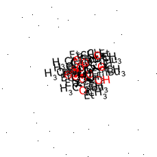 CCCCC(C)(CC)OCC(C)C(C)(CC)OCC(OC(C)(CC)C(C)COC(C)(CC)CCCC)C(OC(C)(CC)C(C)CO)C(OC(C)(CC)C(C)COC(C)(CC)CCCC)C(COC(C)(CC)C(C)COC(C)(CC)CCCC)OC(C)(CC)C(C)COC(C)(CC)CCCC